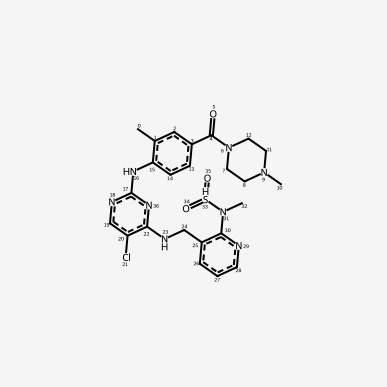 Cc1cc(C(=O)N2CCN(C)CC2)ccc1Nc1ncc(Cl)c(NCc2cccnc2N(C)[SH](=O)=O)n1